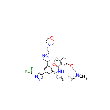 Cc1ccc(OCCN(C)C)cc1C(=O)N[C@H](C)c1cc(-c2cnn(CCN3CCOCC3)c2)cc(-c2cnn(CC(F)F)c2)c1